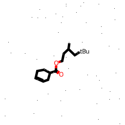 CC(CCOC(=O)C1CC=CCC1)CC(C)(C)C